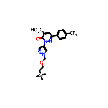 C[Si](C)(C)CCOCn1cc(-n2nc(-c3ccc(C(F)(F)F)cc3)cc(C(=O)O)c2=O)cn1